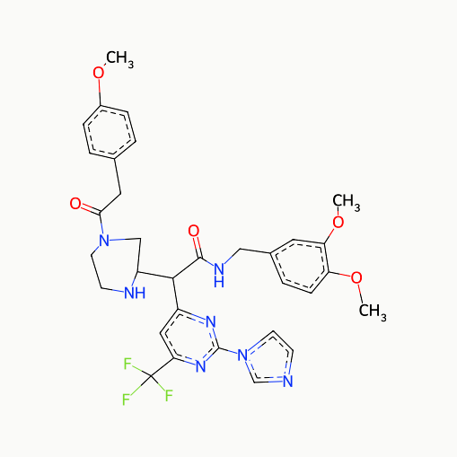 COc1ccc(CC(=O)N2CCNC(C(C(=O)NCc3ccc(OC)c(OC)c3)c3cc(C(F)(F)F)nc(-n4ccnc4)n3)C2)cc1